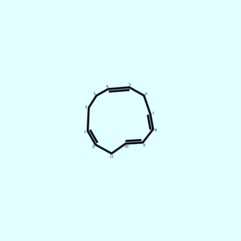 [C]1=C\CC/C=C\C/C=C\C=C\C/1